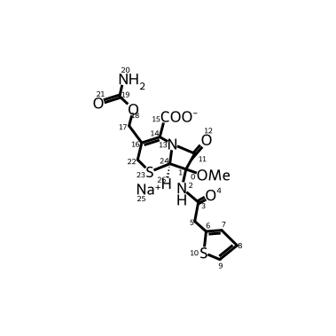 COC1(NC(=O)Cc2cccs2)C(=O)N2C(C(=O)[O-])=C(COC(N)=O)CS[C@@H]21.[Na+]